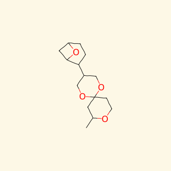 CC1CC2(CCO1)OCC(C1CCC3CC1O3)CO2